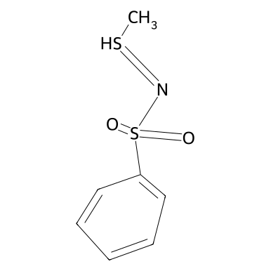 C[SH]=NS(=O)(=O)c1ccccc1